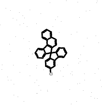 Clc1ccc2c(c1)-c1ccccc1C21c2ccccc2-c2c1ccc1ccccc21